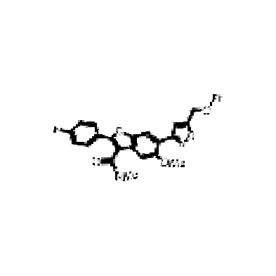 CCOCc1cc(-c2cc3oc(-c4ccc(F)cc4)c(C(=O)NC)c3cc2OC)no1